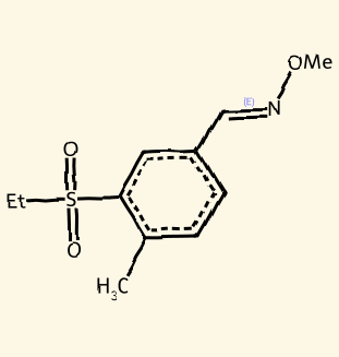 CCS(=O)(=O)c1cc(/C=N/OC)ccc1C